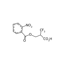 O=C(OCC(C(=O)O)C(F)(F)F)c1ccccc1[N+](=O)[O-]